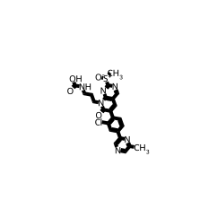 Cc1cncc(-c2ccc(-c3cc4cnc([S+](C)[O-])nc4n(CCCNC(=O)O)c3=O)c(Cl)c2)n1